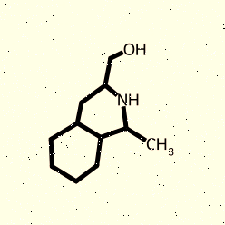 CC1NC(CO)CC2CCCCC21